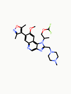 COc1cc2c(cc1-c1c(C)noc1C)ncc1nc(CN3CCN(C)CC3)n(C(C)COC(F)F)c12